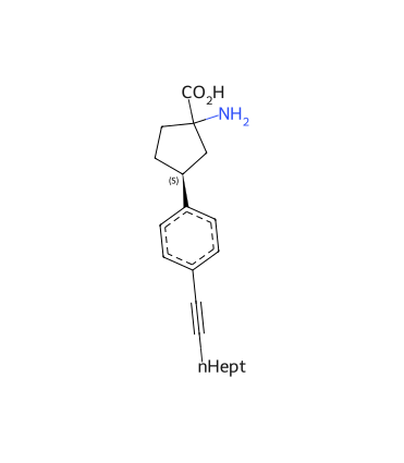 CCCCCCCC#Cc1ccc([C@H]2CCC(N)(C(=O)O)C2)cc1